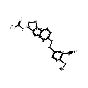 COc1ccc(COc2ccc3c(c2)cc2n3CC[C@H]2CC(=O)O)cc1C#N